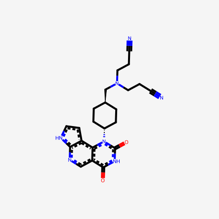 N#CCCN(CCC#N)C[C@H]1CC[C@H](n2c(=O)[nH]c(=O)c3cnc4[nH]ccc4c32)CC1